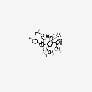 C=Nc1cc(-c2c(C)noc2C)c(OC)cc1-c1c(C)nc(C2CCC(F)CC2)n1C(C)COC(F)F